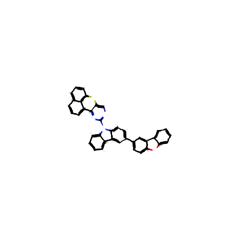 c1cc2c3c(cccc3c1)-c1nc(-n3c4ccccc4c4cc(-c5ccc6oc7ccccc7c6c5)ccc43)ncc1S2